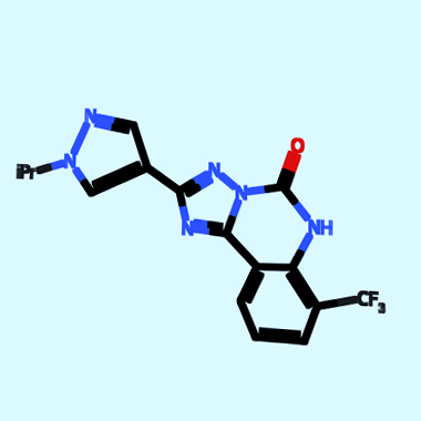 CC(C)n1cc(-c2nc3c4cccc(C(F)(F)F)c4[nH]c(=O)n3n2)cn1